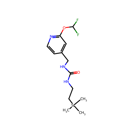 C[Si](C)(C)CCNC(=O)NCc1ccnc(OC(F)F)c1